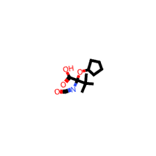 CC(C)(C)C(N=C=O)(OC1CCCC1)C(=O)O